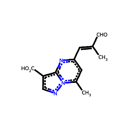 CC(C=O)=Cc1cc(C)n2ncc(C(=O)O)c2n1